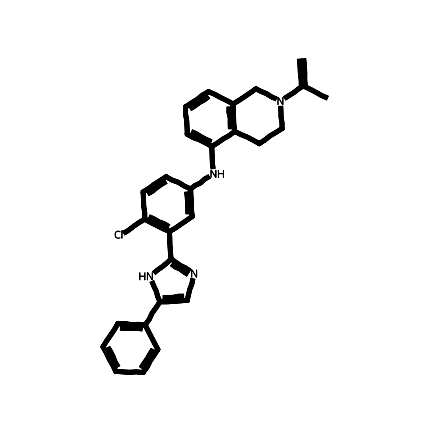 C=C(C)N1CCc2c(cccc2Nc2ccc(Cl)c(-c3ncc(-c4ccccc4)[nH]3)c2)C1